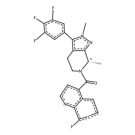 C[C@H]1c2nn(C)c(-c3cc(F)c(F)c(F)c3)c2CCN1C(=O)c1ccnc2c(F)cccc12